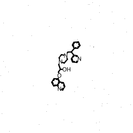 OC(COc1cccc2ncccc12)CN1CCN(CC(c2ccccc2)c2cccnc2)CC1